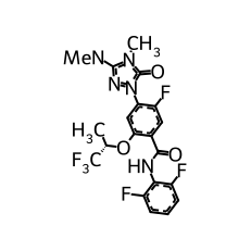 CNc1nn(-c2cc(O[C@@H](C)C(F)(F)F)c(C(=O)Nc3c(F)cccc3F)cc2F)c(=O)n1C